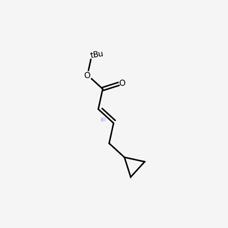 CC(C)(C)OC(=O)/C=C/CC1CC1